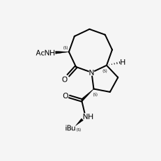 CC[C@H](C)NC(=O)[C@@H]1CC[C@@H]2CCCC[C@H](NC(C)=O)C(=O)N21